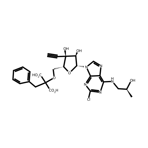 C#C[C@@]1(O)[C@@H](COC(Cc2ccccc2)(C(=O)O)C(=O)O)O[C@@H](n2cnc3c(NC[C@H](C)O)nc(Cl)nc32)[C@@H]1O